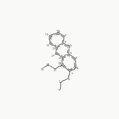 CCCc1ccc2nc3ccccc3cc2c1CCC